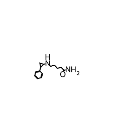 NC(=O)CCCCNC1CC1c1ccccc1